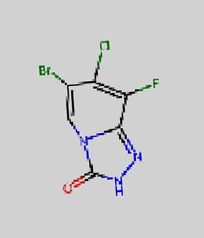 O=c1[nH]nc2c(F)c(Cl)c(Br)cn12